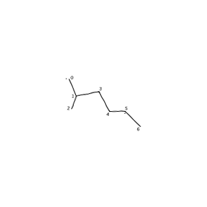 [CH2]C(C)CC[CH]C